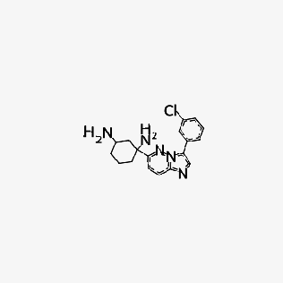 NC1CCCC(N)(c2ccc3ncc(-c4cccc(Cl)c4)n3n2)C1